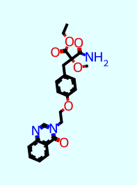 CCOC(=O)C(Cc1ccc(OCCn2cnc3ccccc3c2=O)cc1)(OC)C(N)=O